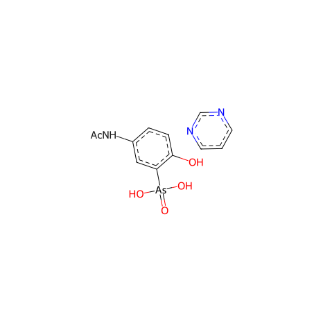 CC(=O)Nc1ccc(O)c([As](=O)(O)O)c1.c1cncnc1